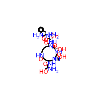 CC(O)[C@@H]1NC[C@@H](NC(=O)[C@@H](N)CO)CCC(=O)NCCCC[C@@H](C(=O)N[C@@H](CO)C(=O)N(N)[C@@H](Cc2ccccc2)C(N)=O)NC(=O)[C@H](CO)NC1=O